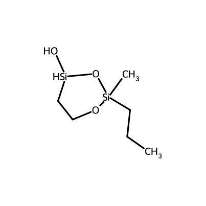 CCC[Si]1(C)OCC[SiH](O)O1